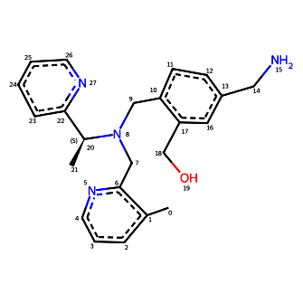 Cc1cccnc1CN(Cc1ccc(CN)cc1CO)[C@@H](C)c1ccccn1